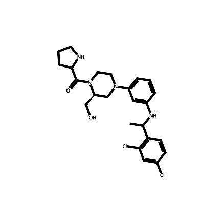 CC(Nc1cccc(N2CCN(C(=O)C3CCCN3)[C@H](CO)C2)c1)c1ccc(Cl)cc1Cl